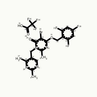 Cc1ncc(Cn2c(C)nc(OCc3c(F)cc(F)cc3F)c(Br)c2=O)c(N)n1.O=C(O)C(F)(F)F